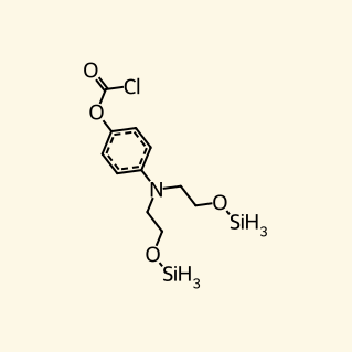 O=C(Cl)Oc1ccc(N(CCO[SiH3])CCO[SiH3])cc1